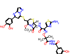 CC(C)(O/N=C(\C(=O)N[C@@H]1C(=O)N2C(OC(=O)O)=C(CSc3cc(-c4ccc(O)c(O)c4)nc4ccnn34)CS[C@H]12)c1csc(N)n1)C(=O)NNC(=O)c1ccc(O)c(O)c1